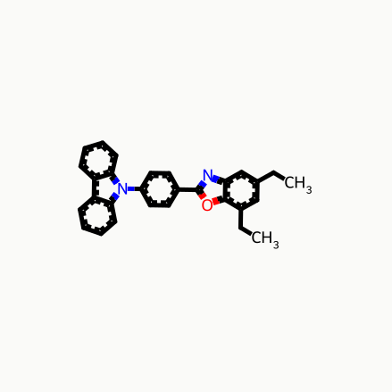 CCc1cc(CC)c2oc(-c3ccc(-n4c5ccccc5c5ccccc54)cc3)nc2c1